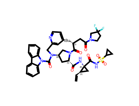 C=C[C@@H]1C[C@]1(NC(=O)[C@@H]1C[C@@H](N(Cc2ccccn2)C(=O)n2c3ccccc3c3ccccc32)CN1C(=O)[C@@H](CC(=O)N1CCC(F)(F)C1)C(C)(C)C)C(=O)NS(=O)(=O)C1CC1